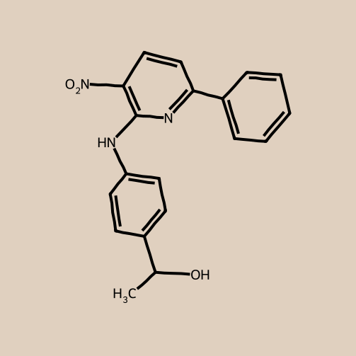 CC(O)c1ccc(Nc2nc(-c3ccccc3)ccc2[N+](=O)[O-])cc1